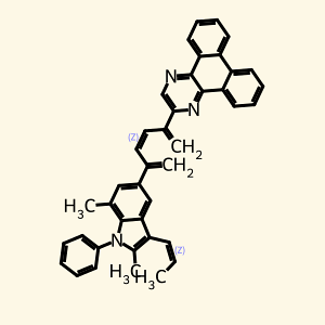 C=C(/C=C\C(=C)c1cnc2c3ccccc3c3ccccc3c2n1)c1cc(C)c2c(c1)c(/C=C\C)c(C)n2-c1ccccc1